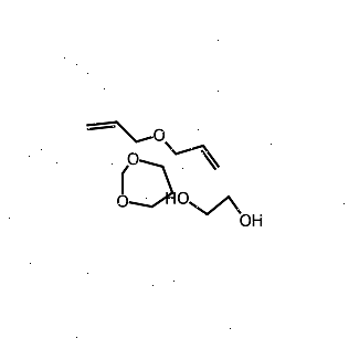 C1COCOC1.C=CCOCC=C.OCCO